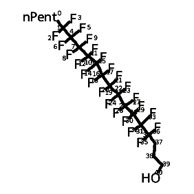 CCCCCC(F)(F)C(F)(F)C(F)(F)C(F)(F)C(F)(F)C(F)(F)C(F)(F)C(F)(F)C(F)(F)C(F)(F)C(F)(F)C(F)(F)CCCO